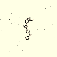 CC(C)n1ncc2ccc(-c3nc(N4CCN(C(=O)c5ccccc5)CC4)no3)cc21